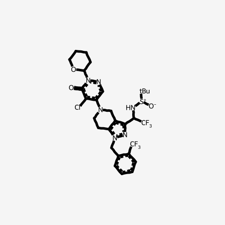 CC(C)(C)[S+]([O-])NC(c1nn(Cc2ccccc2C(F)(F)F)c2c1CN(c1cnn(C3CCCCO3)c(=O)c1Cl)CC2)C(F)(F)F